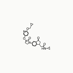 O=C(CC1CC(=O)c2cc(N3CC[C@@H](Oc4ccc(OCC5CC5)nc4)C3=O)ccc21)NC1CC1